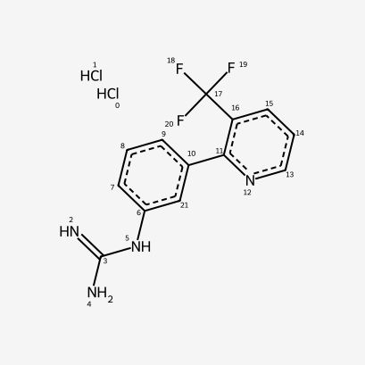 Cl.Cl.N=C(N)Nc1cccc(-c2ncccc2C(F)(F)F)c1